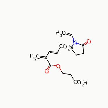 C=C(C=CC(=O)O)C(=O)OCCC(=O)O.C=CN1CCCC1=O